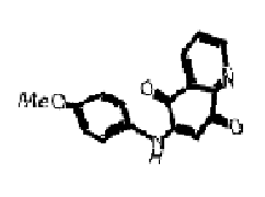 COc1ccc(NC2=CC(=O)c3ncccc3C2=O)cc1